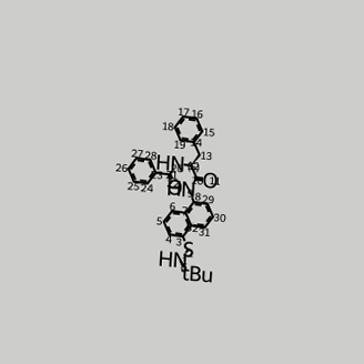 CC(C)(C)NSc1cccc2c(NC(=O)[C@H](Cc3ccccc3)NC(=O)c3ccccc3)cccc12